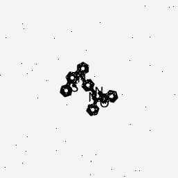 c1ccc(-c2nc(-c3ccc(-n4c5ccccc5c5ccc6c7ccccc7sc6c54)cc3)nc3c2oc2ccccc23)cc1